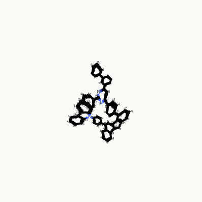 c1ccc(-c2cccc(-c3cc(-c4ccc(-c5cccc6c5-c5cc(-c7ccc(-n8c9ccccc9c9ccccc98)cc7)c7ccccc7c5C6)cc4)nc(-c4ccccc4)n3)c2)cc1